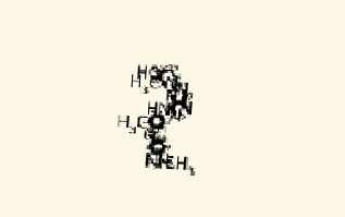 Cc1cc(Nc2ncnc3cnc(N4CCC[C@@](C)(O)C4)nc23)ccc1Oc1ccc2c(c1)ncn2C